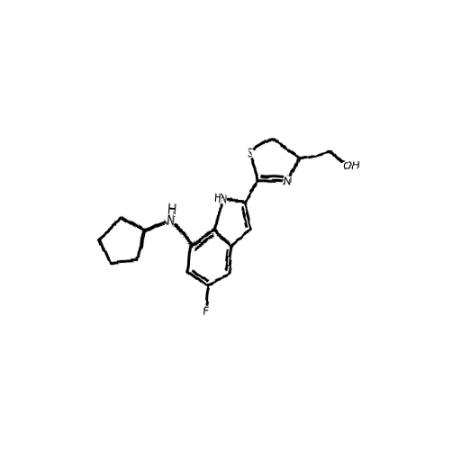 OCC1CSC(c2cc3cc(F)cc(NC4CCCC4)c3[nH]2)=N1